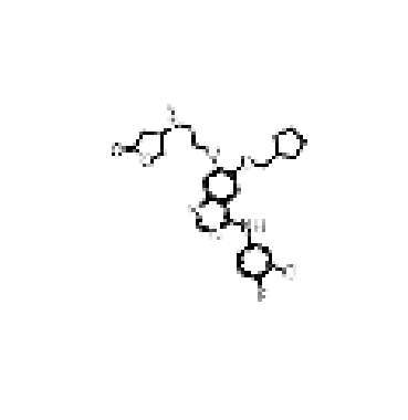 CN(CCOc1cc2ncnc(Nc3ccc(F)c(Cl)c3)c2cc1OCC1CCCC1)C1COC(=O)C1